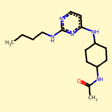 CCCCNc1nccc(NC2CCC(NC(C)=O)CC2)n1